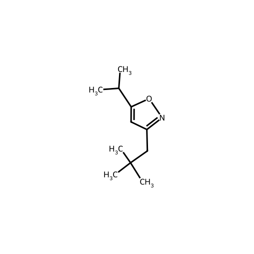 CC(C)c1cc(CC(C)(C)C)no1